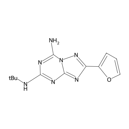 CC(C)(C)Nc1nc(N)n2nc(-c3ccco3)nc2n1